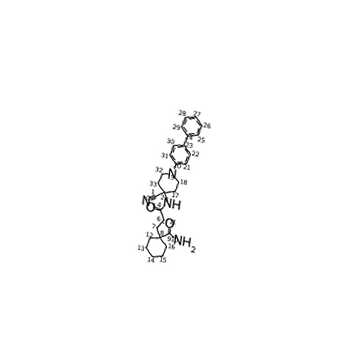 N#CC1(NC(=O)[CH]CC2(C(N)=O)CCCCC2)CCN(c2ccc(-c3ccccc3)cc2)CC1